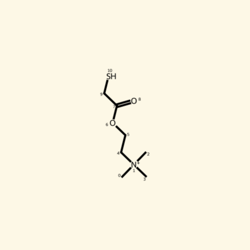 C[N+](C)(C)CCOC(=O)CS